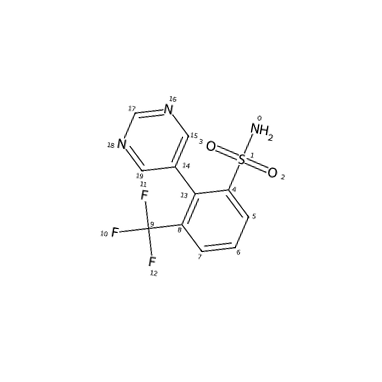 NS(=O)(=O)c1cccc(C(F)(F)F)c1-c1cncnc1